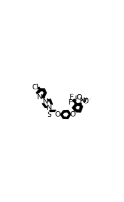 O=[N+]([O-])c1ccc(O[C@H]2CC[C@H](OCC(=S)N3CCN(c4ccc(Cl)cn4)CC3)CC2)cc1C(F)(F)F